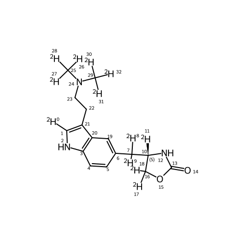 [2H]c1[nH]c2ccc(C([2H])([2H])[C@]3([2H])NC(=O)OC3([2H])[2H])cc2c1CCN(C([2H])([2H])[2H])C([2H])([2H])[2H]